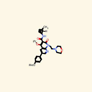 COc1ccc(-c2cnc3c(c2)c(OC(C)C)c(C(=O)NC24CC(C2)[C@@H]4C)c(=O)n3CCN2CCOCC2)cc1